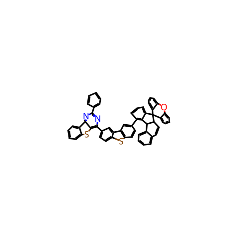 C1=CC2C(c3ccccc31)c1c(-c3ccc4sc5ccc(-c6nc(-c7ccccc7)nc7c6sc6ccccc67)cc5c4c3)cccc1C21c2ccccc2Oc2ccccc21